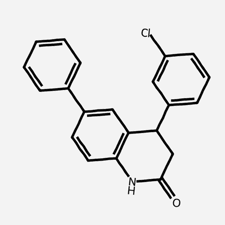 O=C1CC(c2cccc(Cl)c2)c2cc(-c3ccccc3)ccc2N1